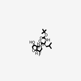 CC(C)C[C@H](NC(=O)OC(C)(C)C)C(=O)N1C[C@H](F)[C@H]2OC[C@H](O)[C@H]21